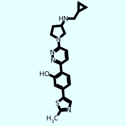 Cc1ncc(-c2ccc(-c3ccc(N4CCC(NCC5CC5)C4)nn3)c(O)c2)s1